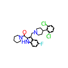 O=C(c1[nH]c2ccc(F)cc2c1CN1CCC(c2c(Cl)cccc2Cl)CC1)N1CCCCC1